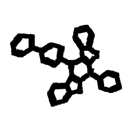 c1ccc(-c2ccc(B3c4c(sc5ccccc45)N(c4ccccc4)c4sc5ccccc5c43)cc2)cc1